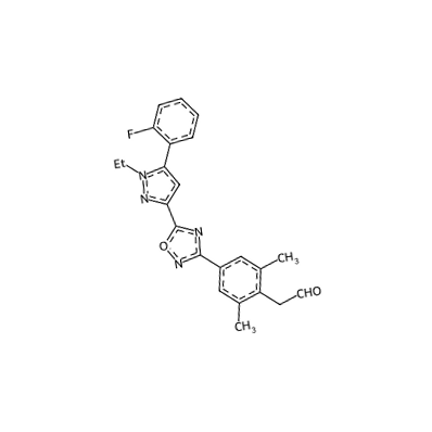 CCn1nc(-c2nc(-c3cc(C)c(CC=O)c(C)c3)no2)cc1-c1ccccc1F